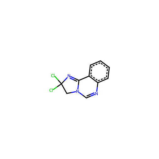 ClC1(Cl)CN2C=Nc3ccccc3C2=N1